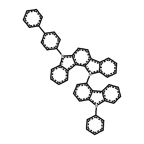 c1ccc(-c2ccc(-n3c4ccccc4c4c3ccc3c5ccccc5n(-c5cccc6c5c5ccccc5n6-c5ccccc5)c34)cc2)cc1